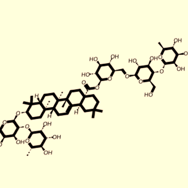 C[C@@H]1O[C@@H](O[C@H]2[C@H](O[C@H]3CC[C@]4(C)[C@H]5CC=C6[C@@H]7CC(C)(C)CC[C@]7(C(=O)O[C@@H]7O[C@H](CO[C@@H]8O[C@H](CO)[C@@H](O[C@@H]9O[C@@H](C)[C@H](O)[C@@H](O)[C@H]9O)[C@H](O)[C@H]8O)[C@@H](O)[C@H](O)[C@H]7O)CC[C@@]6(C)[C@]5(C)CC[C@H]4C3(C)C)OC[C@H](O)[C@@H]2O)[C@H](O)[C@H](O)[C@H]1O